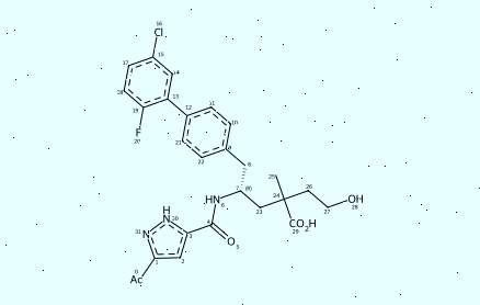 CC(=O)c1cc(C(=O)N[C@H](Cc2ccc(-c3cc(Cl)ccc3F)cc2)CC(C)(CCO)C(=O)O)[nH]n1